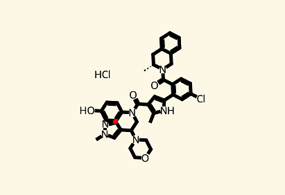 Cc1[nH]c(-c2cc(Cl)ccc2C(=O)N2Cc3ccccc3C[C@H]2C)cc1C(=O)N(CC(c1cnn(C)c1)N1CCOCC1)c1ccc(O)cc1.Cl